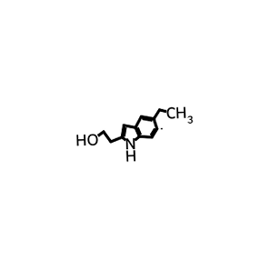 CCc1[c]cc2[nH]c(CCO)cc2c1